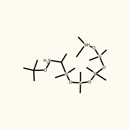 CC([SiH2]OC(C)(C)C)[Si](C)(C)O[Si](C)(C)O[Si](C)(C)O[Si](C)(C)O[SiH](C)C